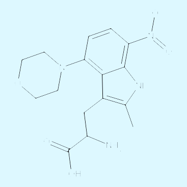 Cc1[nH]c2c([N+](=O)[O-])ccc(N3CCOCC3)c2c1CC(N)C(=O)O